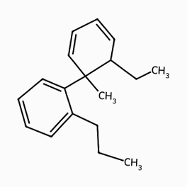 CCCc1ccccc1C1(C)C=CC=CC1CC